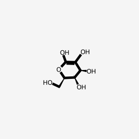 OC[C@H]1OC(O)=C(O)[C@@H](O)[C@H]1O